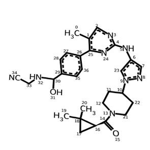 Cc1cnc(Nc2cnn(C3CCN(C(=O)[C@H]4CC4(C)C)CC3)c2)nc1-c1ccc(C(O)NCC#N)cc1